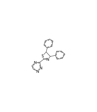 c1ccc(C2N=C(c3nccnn3)SC2c2ccccc2)cc1